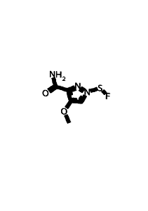 COc1cn(SF)nc1C(N)=O